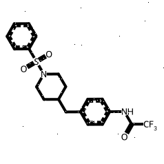 O=C(Nc1ccc(CC2CCN(S(=O)(=O)c3ccccc3)CC2)cc1)C(F)(F)F